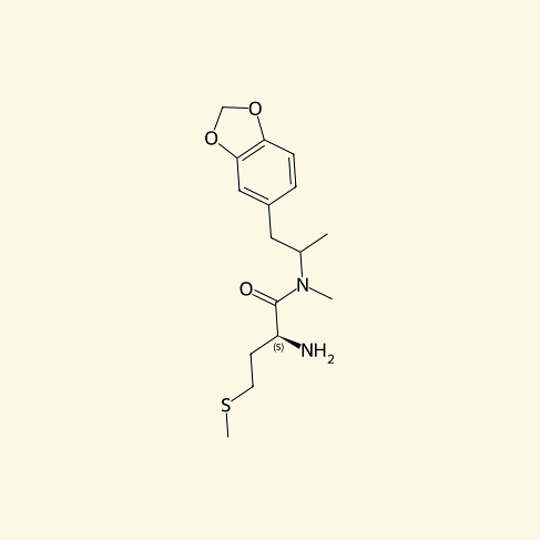 CSCC[C@H](N)C(=O)N(C)C(C)Cc1ccc2c(c1)OCO2